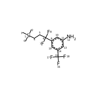 C[Si](C)(C)CCC(F)(F)c1cc(N)cc(C(F)(F)F)c1